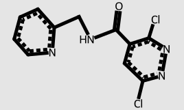 O=C(NCc1ccccn1)c1cc(Cl)nnc1Cl